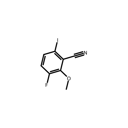 COc1c(F)ccc(I)c1C#N